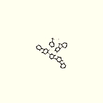 CC(C)(C)c1ccc(N2B3c4cc5c(cc4-n4c6cc7oc8ccccc8c7cc6c6ccc(c3c64)-c3cc4sc6ccccc6c4cc32)-c2ccccc2C5(C)C)cc1